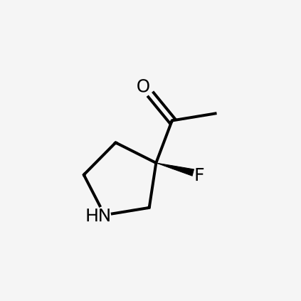 CC(=O)[C@@]1(F)CCNC1